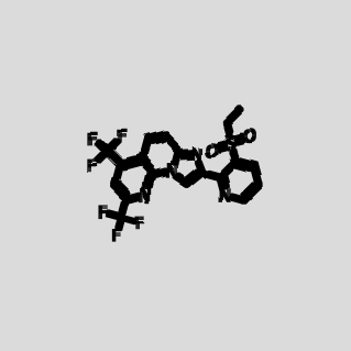 CCS(=O)(=O)c1cccnc1-c1cn2c(ccc3c(C(F)(F)F)cc(C(F)(F)F)nc32)n1